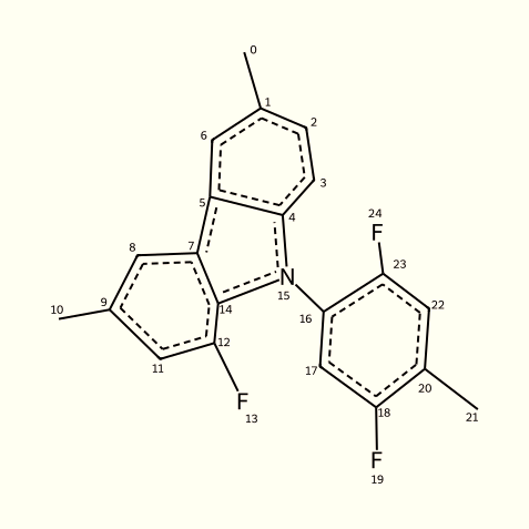 Cc1ccc2c(c1)c1cc(C)cc(F)c1n2-c1cc(F)c(C)cc1F